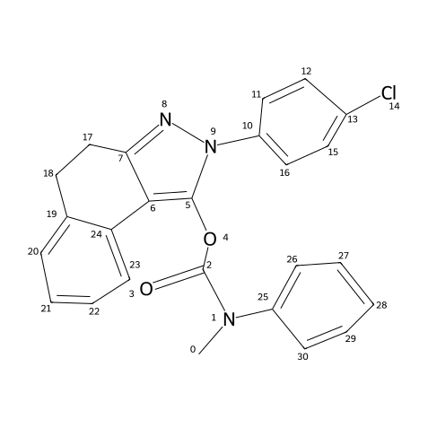 CN(C(=O)Oc1c2c(nn1-c1ccc(Cl)cc1)CCc1ccccc1-2)c1ccccc1